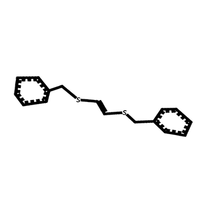 C(=CSCc1ccccc1)SCc1ccccc1